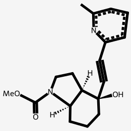 COC(=O)N1CC[C@@H]2[C@H]1CCC[C@@]2(O)C#Cc1cccc(C)n1